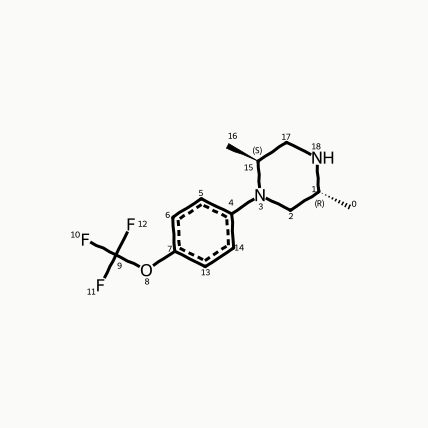 C[C@@H]1CN(c2ccc(OC(F)(F)F)cc2)[C@@H](C)CN1